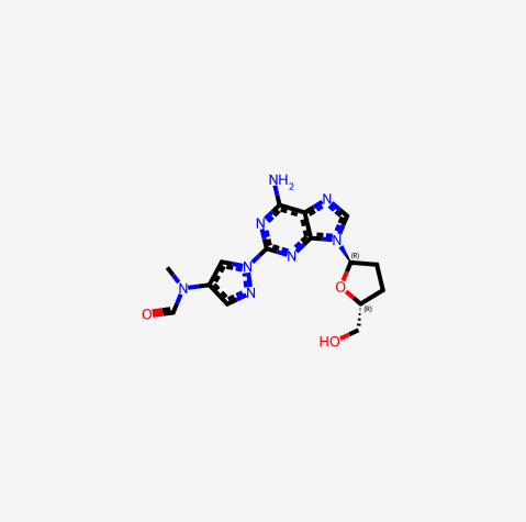 CN(C=O)c1cnn(-c2nc(N)c3ncn([C@H]4CC[C@H](CO)O4)c3n2)c1